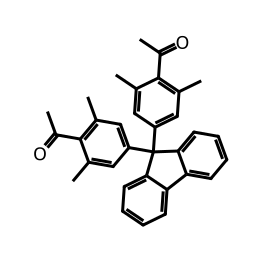 CC(=O)c1c(C)cc(C2(c3cc(C)c(C(C)=O)c(C)c3)c3ccccc3-c3ccccc32)cc1C